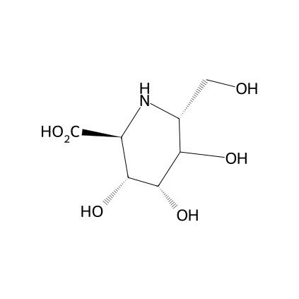 O=C(O)[C@H]1N[C@H](CO)C(O)[C@H](O)[C@@H]1O